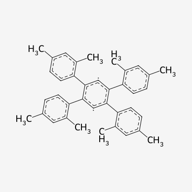 Cc1ccc(-c2[c]c(-c3ccc(C)cc3C)c(-c3ccc(C)cc3C)[c]c2-c2ccc(C)cc2C)c(C)c1